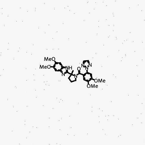 COc1cc(C(=O)N2CCCC2(C)c2nc3cc(OC)c(OC)cc3[nH]2)c(-n2nccn2)cc1OC